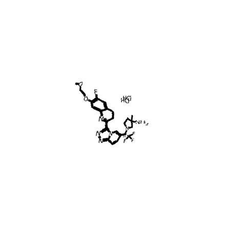 COCCOc1cc2nc(-c3nnc4ccc([C@H](N5CCC(C)(N)C5)C(F)(F)F)cn34)ccc2cc1F.Cl.Cl